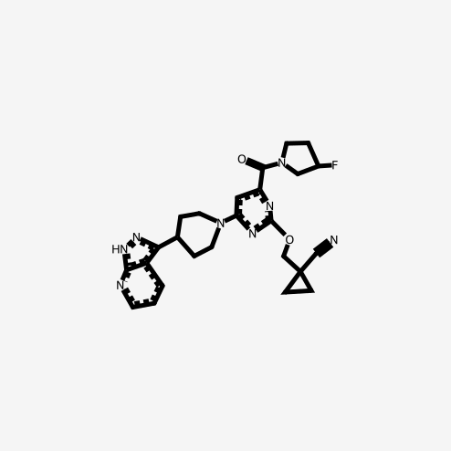 N#CC1(COc2nc(C(=O)N3CCC(F)C3)cc(N3CCC(c4n[nH]c5ncccc45)CC3)n2)CC1